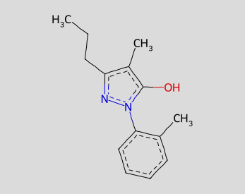 CCCc1nn(-c2ccccc2C)c(O)c1C